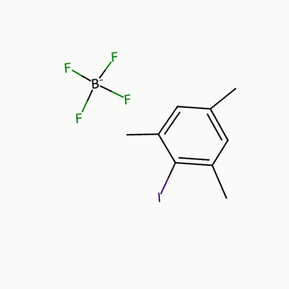 Cc1cc(C)c(I)c(C)c1.F[B-](F)(F)F